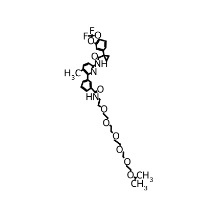 Cc1ccc(NC(=O)C2(c3ccc4c(c3)OC(F)(F)O4)CC2)nc1-c1cccc(C(=O)NCCOCCOCCOCCOCCOCCOC(C)C)c1